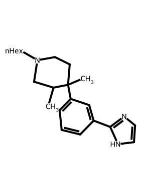 CCCCCCN1CCC(C)(c2cccc(-c3ncc[nH]3)c2)C(C)C1